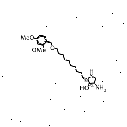 COc1ccc(COCCCCCCCCCC[C@H]2NC[C@H](N)[C@@H]2O)c(OC)c1